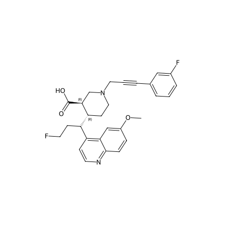 COc1ccc2nccc(C(CCF)[C@H]3CCN(CC#Cc4cccc(F)c4)C[C@@H]3C(=O)O)c2c1